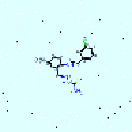 NC(=S)N/N=C/c1cc([N+](=O)[O-])ccc1NCCc1cccc(Cl)c1